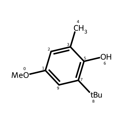 COc1cc(C)c(O)c(C(C)(C)C)c1